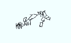 Cc1cc(C2=NOC(c3cc(Cl)cc(Cl)c3)(C(F)(F)F)C2)ccc1C(=O)NC1CNOC1